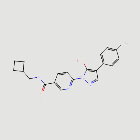 N#Cc1ccc(-c2cnn(-c3ccc(C(=O)NCC4CCC4)cn3)c2O)cc1